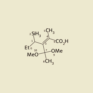 CCC([SiH3])C(=C(C)C(=O)O)C(C)(OC)OC